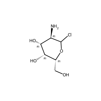 N[C@H]1C(Cl)O[C@H](CO)[C@H](O)[C@@H]1O